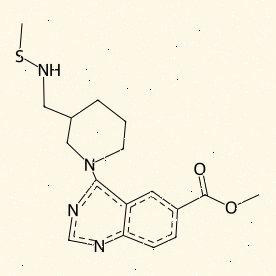 COC(=O)c1ccc2ncnc(N3CCCC(CNSC)C3)c2c1